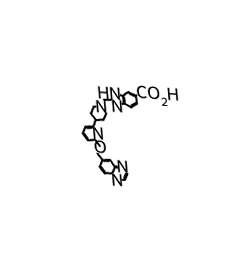 O=C(O)c1ccc2nc(CN3CCC(c4cccc(OCc5ccc6nccnc6c5)n4)CC3)[nH]c2c1